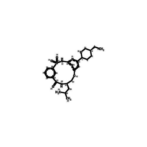 CC[C@H]1CCC(c2cc3nc(n2)NS(=O)(=O)c2cccc(c2)C(=O)N[C@H](CC(C)C)CO3)OC1